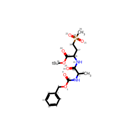 CC(NC(=O)OCc1ccccc1)C(=O)NC(CCS(C)(=O)=O)C(=O)OC(C)(C)C